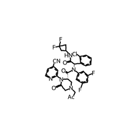 CC(=O)CN1CC(=O)N(c2cc(C#N)ccn2)[C@H](C(=O)N(c2cc(F)cc(F)c2)[C@H](C(=O)NC2CC(F)(F)C2)c2ccccc2Cl)C1